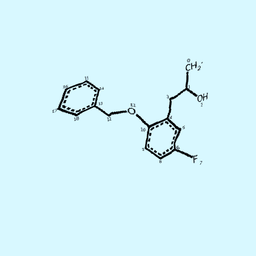 [CH2]C(O)Cc1cc(F)ccc1OCc1ccccc1